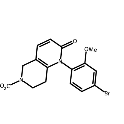 COc1cc(Br)ccc1-n1c2c(ccc1=O)CN(C(=O)O)CC2